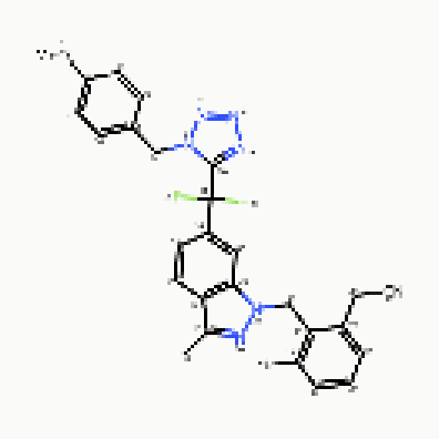 COc1ccc(Cn2nnnc2C(F)(F)c2ccc3c(C)nn(Cc4c(C)cccc4CC#N)c3c2)cc1